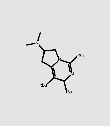 CN(C)C1CC2=C(C(C)(C)C)C(C(C)(C)C)N=C(C(C)(C)C)N2C1